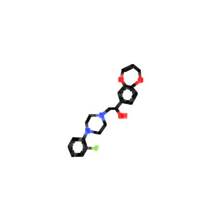 OC(CN1CCN(c2ccccc2F)CC1)c1ccc2c(c1)OC=CCO2